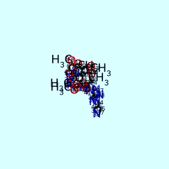 CCN1CCc2cc(OC)c(OC)cc2C1C1CC(C(=O)N2CCN(c3ncnc4c3cnn4Cc3ccncc3)CC2)CCC12c1cc(OC)c(OC)cc1CCN2C(=O)CCN(C)C(=O)OCOC(=O)C1CC1